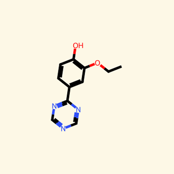 CCOc1cc(-c2ncncn2)ccc1O